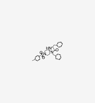 Cc1ccc(S(=O)(=O)N2CCC3(CC2)NC(Cc2ccccc2)C(=O)N3Cc2ccccc2)cc1